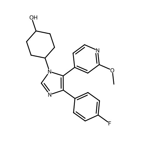 COc1cc(-c2c(-c3ccc(F)cc3)ncn2C2CCC(O)CC2)ccn1